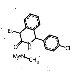 CCC1C(=O)NC(c2ccc(Cl)cc2)c2ccccc21.CNC